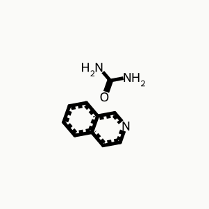 NC(N)=O.c1ccc2cnccc2c1